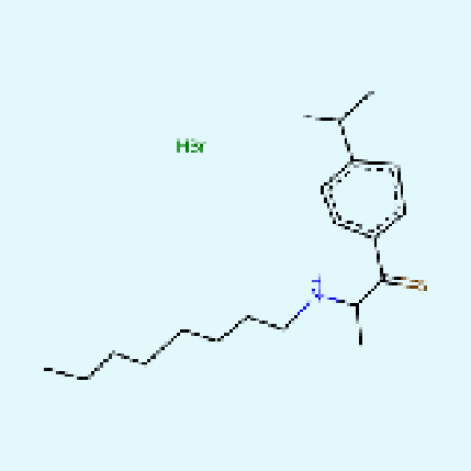 Br.CCCCCCCCNC(C)C(=S)c1ccc(C(C)C)cc1